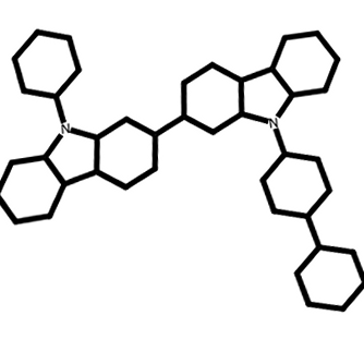 C1CCC(C2CCC(N3C4CCCCC4C4CCC(C5CCC6C7CCCCC7N(C7CCCCC7)C6C5)CC43)CC2)CC1